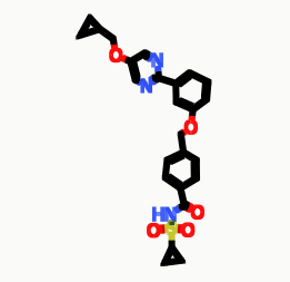 O=C(NS(=O)(=O)C1CC1)c1ccc(COc2cccc(-c3ncc(OCC4CC4)cn3)c2)cc1